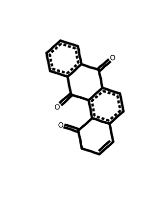 O=C1c2ccccc2C(=O)c2c1ccc1c2C(=O)CC=C1